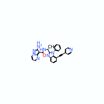 C[C@H](NC(=O)c1c(N)nn2cccnc12)c1nc2cccc(C#Cc3ccncc3)c2n1-c1ccccc1